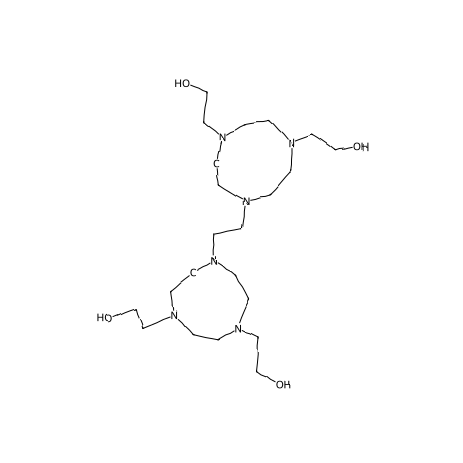 OCCN1CCN(CCO)CCN(CCN2CCN(CCO)CCN(CCO)CC2)CC1